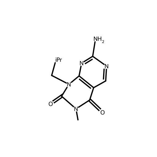 CC(C)Cn1c(=O)n(C)c(=O)c2cnc(N)nc21